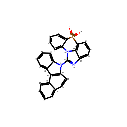 O=S1(=O)c2ccccc2-n2c(-n3c4ccccc4c4c5ccccc5ccc43)nc3cccc1c32